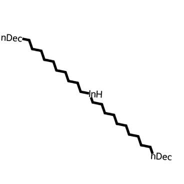 CCCCCCCCCCCCCCCCCCC[CH2][InH][CH2]CCCCCCCCCCCCCCCCCCC